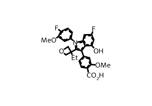 CCC1(c2c(-c3ccc(C(=O)O)c(OC)c3)c3c(O)cc(F)cc3n2-c2ccc(F)c(OC)c2)COC1